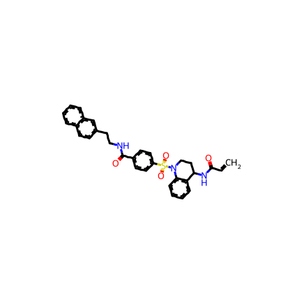 C=CC(=O)NC1CCN(S(=O)(=O)c2ccc(C(=O)NCCc3ccc4ccccc4c3)cc2)c2ccccc21